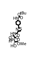 COC(=O)[C@H](CO)NC(=O)[C@H](CO)NC(=O)c1csc(C2CCC(NC(=O)OC(C)(C)C)CC2)n1